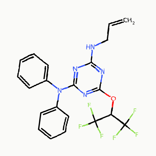 C=CCNc1nc(OC(C(F)(F)F)C(F)(F)F)nc(N(c2ccccc2)c2ccccc2)n1